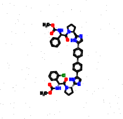 COC(=O)N[C@@H](C(=O)N1CCC[C@H]1c1ncc(-c2ccc(-c3ccc(-c4cnc([C@@H]5CCCN5C(=O)[C@H](NC(=O)OC)c5ccccc5Cl)[nH]4)cc3)cc2)[nH]1)c1ccccc1